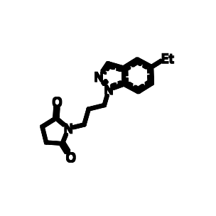 CCc1ccc2c(cnn2CCCN2C(=O)CCC2=O)c1